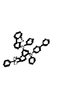 c1ccc(-c2ccc(N(c3ccccc3)c3cc(N(c4ccccc4)c4cccc5c4sc4ccccc45)cc4c3ccc3oc(-c5ccccc5)nc34)cc2)cc1